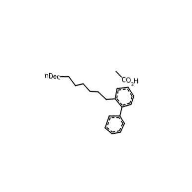 CC(=O)O.CCCCCCCCCCCCCCCCc1ccccc1-c1ccccc1